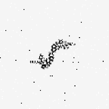 COC(=O)NC(C(=O)N1CCC[C@H]1c1nc2ccc3cc(-c4ccc5cc(-c6cnc([C@@H]7[C@H]8CC[C@H](C8)N7C(=O)C(NC(=O)O)c7ccccc7)[nH]6)ccc5c4)ccc3c2[nH]1)C(C)C